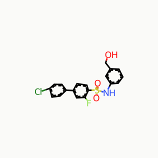 O=S(=O)(Nc1cccc(CO)c1)c1ccc(-c2ccc(Cl)cc2)cc1F